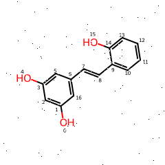 Oc1cc(O)cc(/C=C/c2ccccc2O)c1